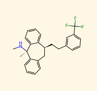 CN[C@]1(C)c2ccccc2C[C@H](CCc2cccc(C(F)(F)F)c2)c2ccccc21